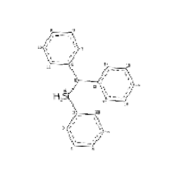 c1ccc([SiH2]C(c2ccccc2)c2ccccc2)cc1